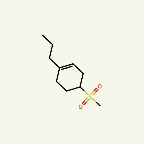 CCCC1=CCC(S(C)(=O)=O)CC1